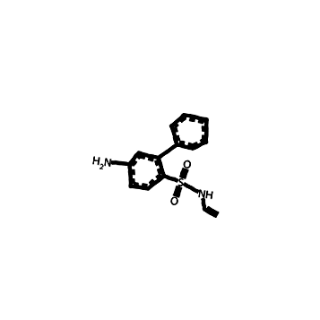 C=CNS(=O)(=O)c1ccc(N)cc1-c1ccccc1